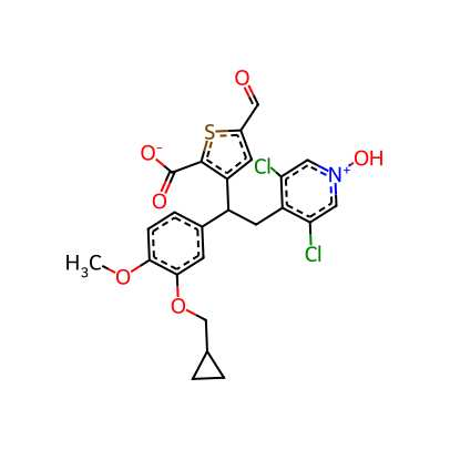 COc1ccc(C(Cc2c(Cl)c[n+](O)cc2Cl)c2cc(C=O)sc2C(=O)[O-])cc1OCC1CC1